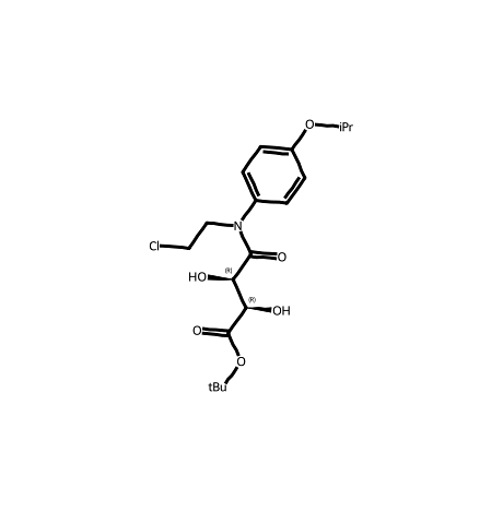 CC(C)Oc1ccc(N(CCCl)C(=O)[C@H](O)[C@@H](O)C(=O)OC(C)(C)C)cc1